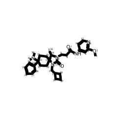 COc1cc(NC(=O)CCN2C(=O)N(CC3CCC3)C3(CCC(c4ccccc4)(N(C)C)CC3)C2I)ccn1